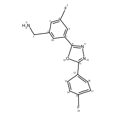 NCc1cc(F)cc(-c2nnc(-c3ccc(F)cc3)o2)c1